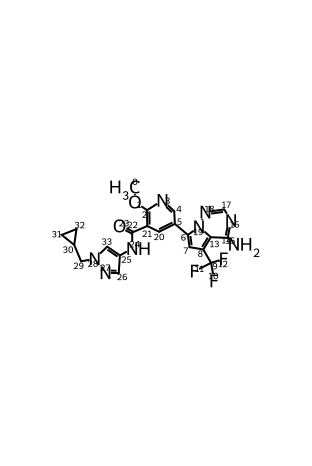 COc1ncc(-c2cc(C(F)(F)F)c3c(N)ncnn23)cc1C(=O)Nc1cnn(CC2CC2)c1